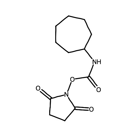 O=C(NC1CCCCCC1)ON1C(=O)CCC1=O